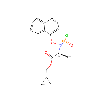 CC(C)[C@@H](C(=O)OCC1CC1)N(Oc1cccc2ccccc12)[PH](=O)Cl